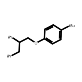 CC(C)CC(COc1ccc(C(C)(C)C)cc1)C(C)C